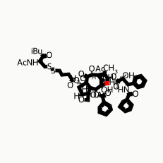 CCC(C)C(=O)[C@@H](CSSCCCC(=O)O[C@H]1C[C@H]2OC[C@@]2(OC(C)=O)[C@H]2[C@H](OC(=O)c3ccccc3)[C@]3(O)C[C@H](OC(=O)[C@H](O)[C@@H](NC(=O)c4ccccc4)c4ccccc4)C(C)=C([C@@H](OC(C)=O)C(=O)[C@]12C)C3(C)C)NC(C)=O